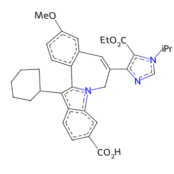 CCOC(=O)c1c(C2=Cc3cc(OC)ccc3-c3c(C4CCCCC4)c4ccc(C(=O)O)cc4n3C2)ncn1C(C)C